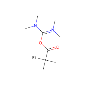 CCC(C)(C)C(=O)OC(N(C)C)=[N+](C)C